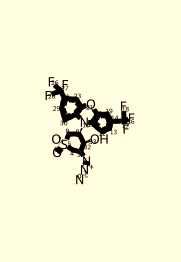 [N-]=[N+]=NC1CS(=O)(=O)C[C@H](N2c3ccc(C(F)(F)F)cc3Oc3cc(C(F)(F)F)ccc32)[C@H]1O